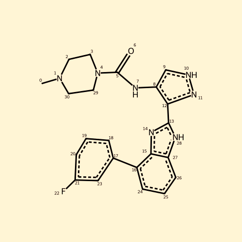 CN1CCN(C(=O)Nc2c[nH]nc2-c2nc3c(-c4cccc(F)c4)cccc3[nH]2)CC1